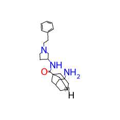 NC12CC3C[C@H](C1)CC(C(=O)NC1CCN(CCc4ccccc4)C1)(C3)C2